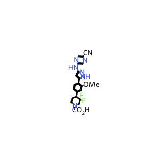 COc1cc(C2CCN(C(=O)O)CC2(F)F)ccc1-c1cc(Nc2cnc(C#N)cn2)n[nH]1